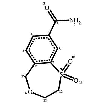 NC(=O)c1ccc2c(c1)S(=O)(=O)CCOC2